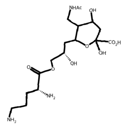 CC(=O)NCC1C(O)CC(O)(C(=O)O)OC1C[C@H](O)COC(=O)[C@H](N)CCCN